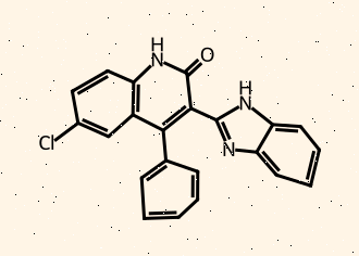 O=c1[nH]c2ccc(Cl)cc2c(-c2ccccc2)c1-c1nc2ccccc2[nH]1